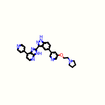 c1cc(-c2ccnc3[nH]c(-c4n[nH]c5ccc(-c6cncc(OCCN7CCCC7)c6)cc45)nc23)ccn1